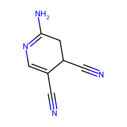 N#CC1=CN=C(N)CC1C#N